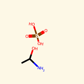 CC(N)O.O=S(=O)(O)O